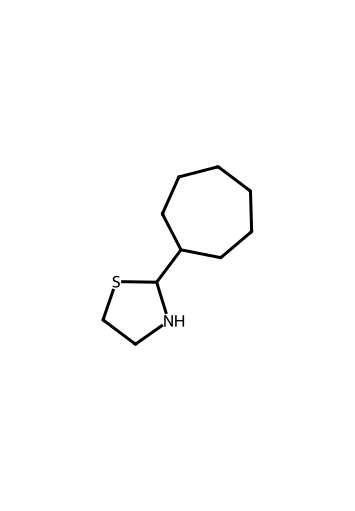 C1CCCC(C2NCCS2)CC1